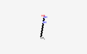 CCCCCCCCCCCCNCCCNO